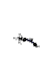 CC(C)C(N)C(=O)Oc1ccc(/C=C/C(O)=C/C(=O)/C=C/c2ccc(O)cc2)cc1